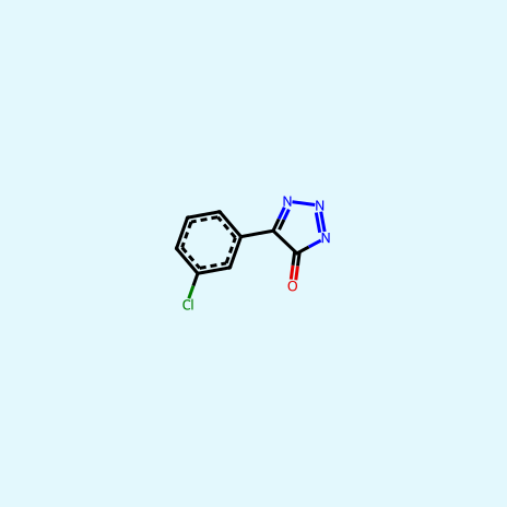 O=C1N=NN=C1c1cccc(Cl)c1